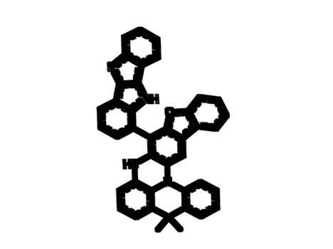 CC1(C)c2ccccc2N2c3cc4c(oc5ccccc54)c(-c4cccc5c4[nH]c4c6ccccc6sc54)c3Bc3cccc1c32